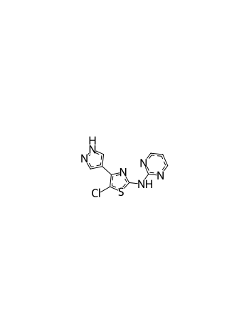 Clc1sc(Nc2ncccn2)nc1-c1cn[nH]c1